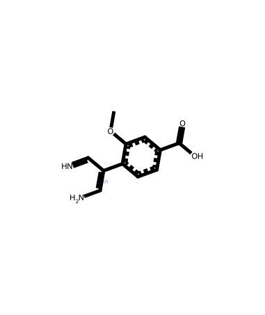 COc1cc(C(=O)O)ccc1/C(C=N)=C/N